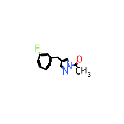 CC(=O)n1cc(CC2=C=CC=CC(F)=C2)cn1